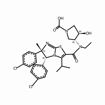 CCN(C(=O)C1=C(C(C)C)N2C(=N[C@@](C)(c3ccc(Cl)cc3)[C@H]2c2ccc(Cl)cc2)S1)[C@@H]1CN(C(=O)O)C[C@H]1O